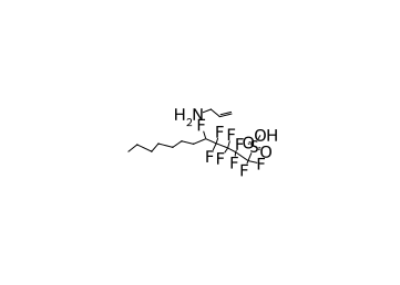 C=CCN.CCCCCCCC(F)C(F)(F)C(F)(F)C(F)(F)C(F)(F)S(=O)(=O)O